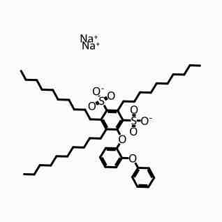 CCCCCCCCCCc1c(CCCCCCCCCC)c(S(=O)(=O)[O-])c(CCCCCCCCCC)c(S(=O)(=O)[O-])c1Oc1ccccc1Oc1ccccc1.[Na+].[Na+]